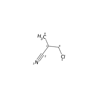 CC(C#N)CCl